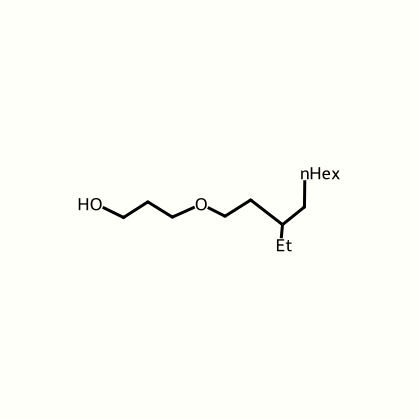 CCCCCCCC(CC)CCOCCCO